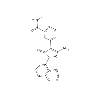 CN(C)C(=O)c1cccc(C2=C(N)OC(c3cccc4ccccc34)C2=O)c1